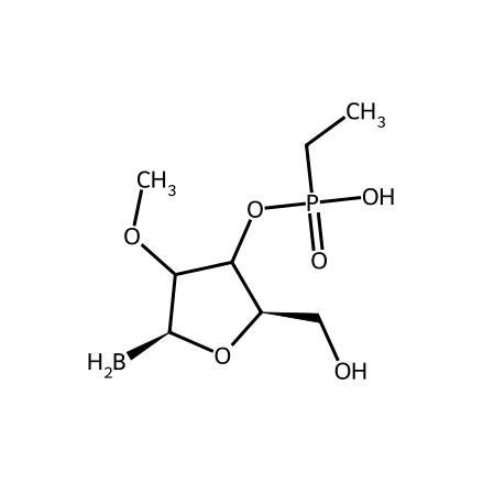 B[C@@H]1O[C@H](CO)C(OP(=O)(O)CC)C1OC